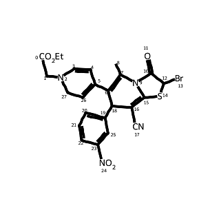 CCOC(=O)CN1C=CC(C2=C(C)N3C(=O)C(Br)SC3=C(C#N)C2c2cccc([N+](=O)[O-])c2)=CC1